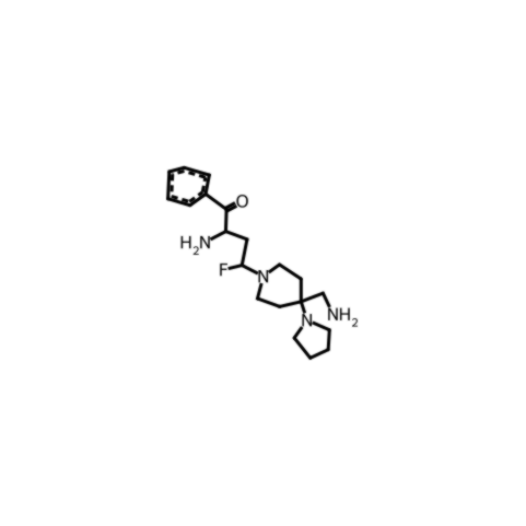 NCC1(N2CCCC2)CCN(C(F)CC(N)C(=O)c2ccccc2)CC1